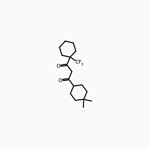 CC1(C)CCC(C(=O)CC(=O)C2(C(F)(F)F)CCCCC2)CC1